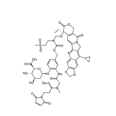 CC[C@]1(OCN(CCS(C)(=O)=O)C(=O)OCc2ccc(O[C@@H]3O[C@H](C(=O)O)[C@@H](O)[C@H](O)[C@H]3O)c(NC(=O)CN(C)C(=O)CCN3C(=O)C=CC3=O)c2)C(=O)OCc2c1cc1n(c2=O)Cc2c-1nc1cc3c(cc1c2C1CC1)OCO3